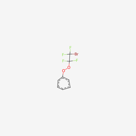 FC(F)(Br)C(F)(F)OOc1ccccc1